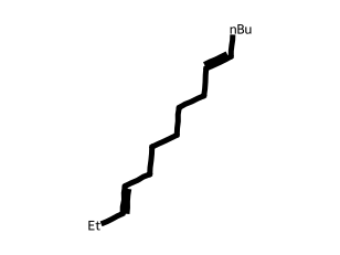 [CH2]CCC/C=C/CCCCC/C=C/CC